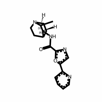 C[C@H]1[C@H](NC(=O)c2ncc(-c3ccccn3)o2)C2CCN1CC2